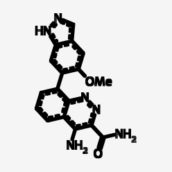 COc1cc2cn[nH]c2cc1-c1cccc2c(N)c(C(N)=O)nnc12